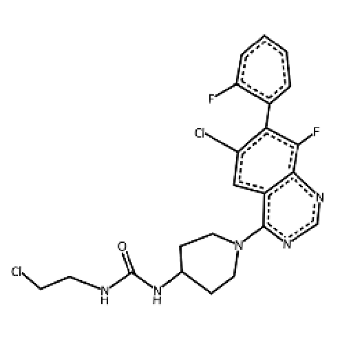 O=C(NCCCl)NC1CCN(c2ncnc3c(F)c(-c4ccccc4F)c(Cl)cc23)CC1